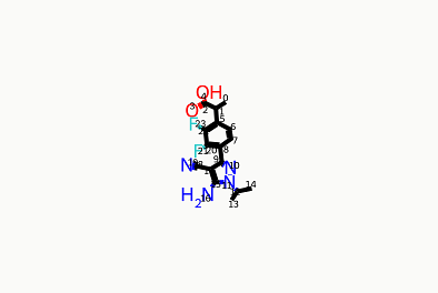 CC(C(=O)O)c1ccc(-c2nn(C(C)C)c(N)c2C#N)c(F)c1F